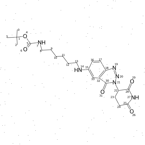 CC(C)(C)OC(=O)NCCCCCCNc1ccc2nnn(C3CCC(=O)NC3=O)c(=O)c2c1